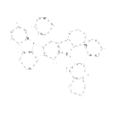 c1ccc(-c2nc3ccccc3nc2-n2c3ccccc3c3cc(C4(c5ccccc5)c5ccccc5-c5ccccc54)ccc32)cc1